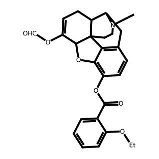 CCOc1ccccc1C(=O)Oc1ccc2c3c1OC1C(OC=O)=CCC4C(C2)N(C)CCC314